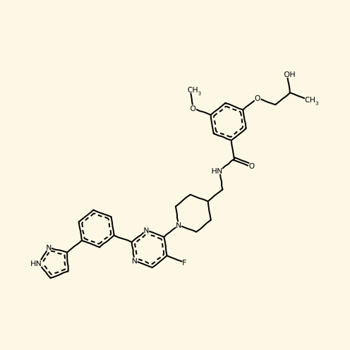 COc1cc(OCC(C)O)cc(C(=O)NCC2CCN(c3nc(-c4cccc(-c5cc[nH]n5)c4)ncc3F)CC2)c1